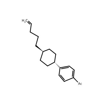 C=CCCC[C@H]1CC[C@H](c2ccc(C(C)=O)cc2)CC1